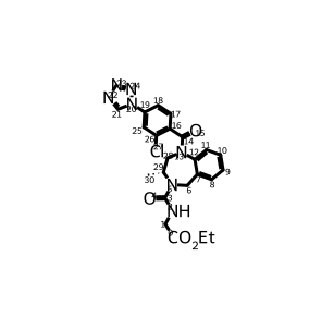 CCOC(=O)CNC(=O)N1Cc2ccccc2N(C(=O)c2ccc(-n3cnnn3)cc2Cl)C[C@H]1C